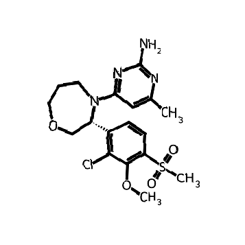 COc1c(S(C)(=O)=O)ccc([C@@H]2COCCCN2c2cc(C)nc(N)n2)c1Cl